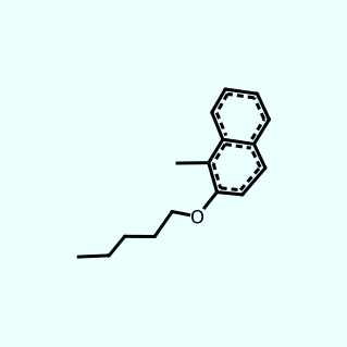 CCCCCOc1ccc2ccccc2c1C